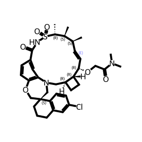 C[C@@H]1[C@@H](C)S(=O)(=O)NC(=O)c2ccc3c(c2)N(C[C@@H]2CC[C@H]2[C@@H](OCC(=O)N(C)C)/C=C/[C@@H]1C)C[C@@]1(CCCc2cc(Cl)ccc21)CO3